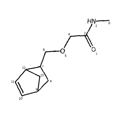 CNC(=O)COCC1CC2C=CC1C2